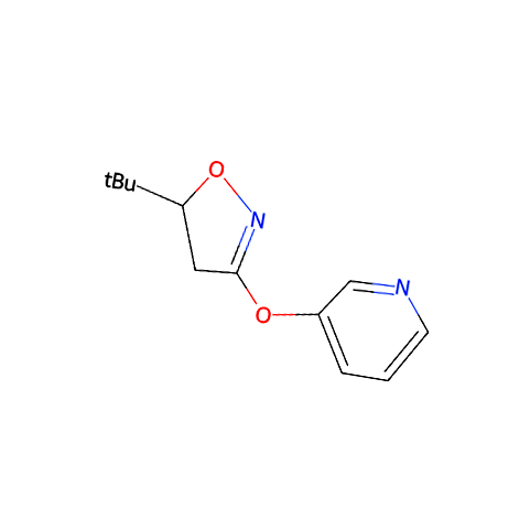 CC(C)(C)C1CC(Oc2cccnc2)=NO1